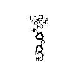 CC(C)(C)OC(=O)Nc1ccc(Oc2ccnc(CO)c2)cc1